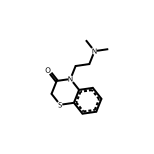 CN(C)CCN1C(=O)CSc2ccccc21